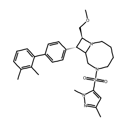 COC[C@@H]1[C@@H](c2ccc(-c3cccc(C)c3C)cc2)C2CN(S(=O)(=O)c3cc(C)nn3C)CCCCN21